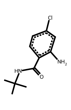 CC(C)(C)NC(=O)c1ccc(Cl)cc1N